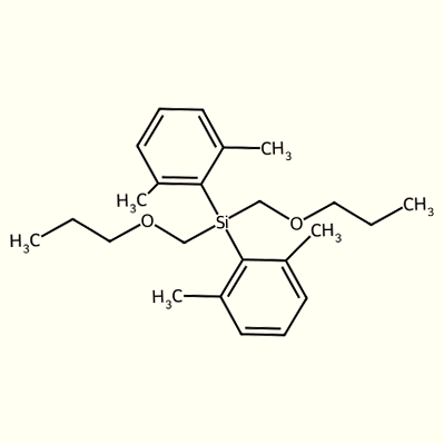 CCCOC[Si](COCCC)(c1c(C)cccc1C)c1c(C)cccc1C